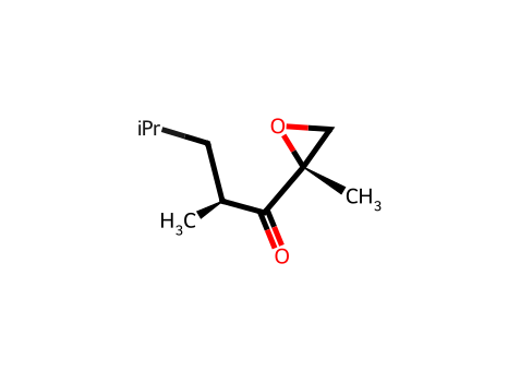 CC(C)C[C@H](C)C(=O)[C@@]1(C)CO1